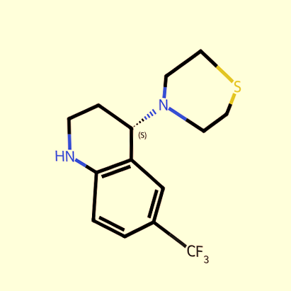 FC(F)(F)c1ccc2c(c1)[C@@H](N1CCSCC1)CCN2